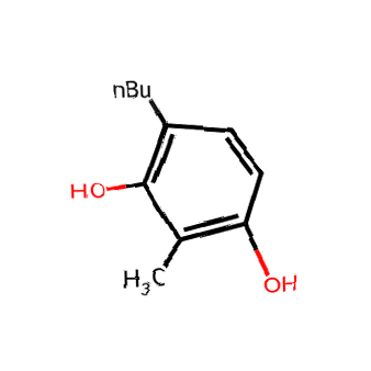 CCCCc1ccc(O)c(C)c1O